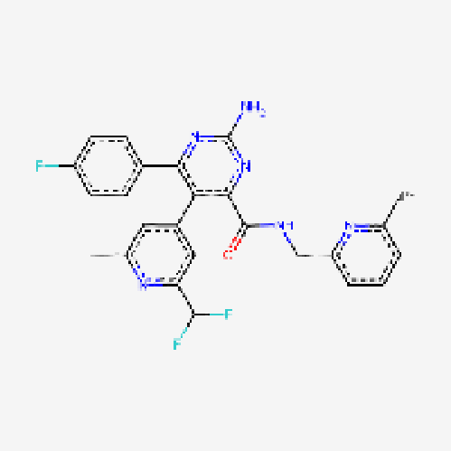 Cc1cc(-c2c(C(=O)NCc3cccc(C(C)C)n3)nc(N)nc2-c2ccc(F)cc2)cc(C(F)F)n1